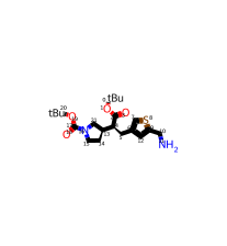 CC(C)(C)OC(=O)[C@@H](Cc1csc(CN)c1)[C@H]1CCN(C(=O)OC(C)(C)C)C1